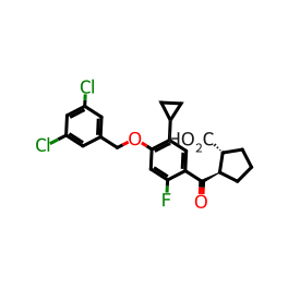 O=C(O)[C@@H]1CCC[C@H]1C(=O)c1cc(C2CC2)c(OCc2cc(Cl)cc(Cl)c2)cc1F